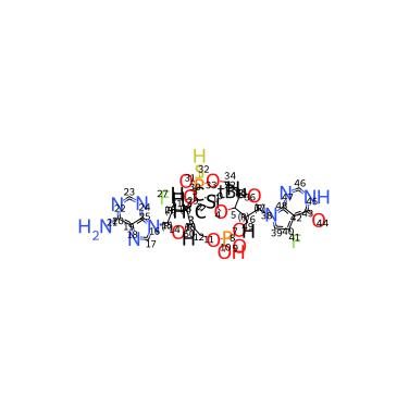 CC(C)(C)[Si](C)(C)OC1[C@H]2OP(=O)(O)OC[C@H]3O[C@@H](n4cnc5c(N)ncnc54)[C@H](F)[C@@H]3OP(=O)(S)OC[C@H]1O[C@H]2n1cc(F)c2c(=O)[nH]cnc21